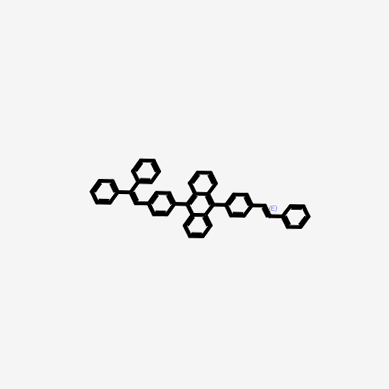 C(=C(c1ccccc1)c1ccccc1)c1ccc(-c2c3ccccc3c(-c3ccc(/C=C/c4ccccc4)cc3)c3ccccc23)cc1